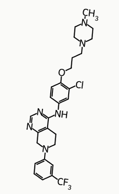 CN1CCN(CCCOc2ccc(Nc3ncnc4c3CCN(c3cccc(C(F)(F)F)c3)C4)cc2Cl)CC1